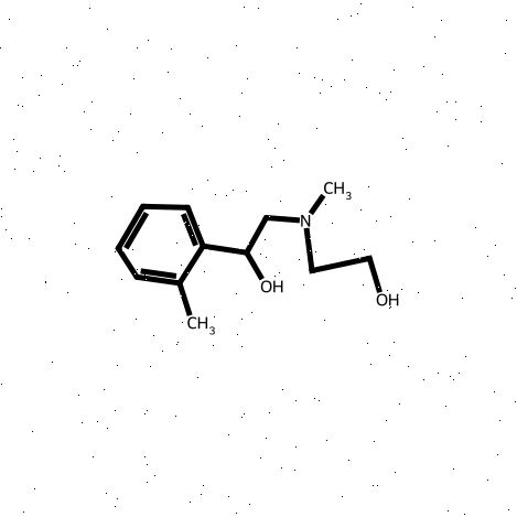 Cc1ccccc1C(O)CN(C)CCO